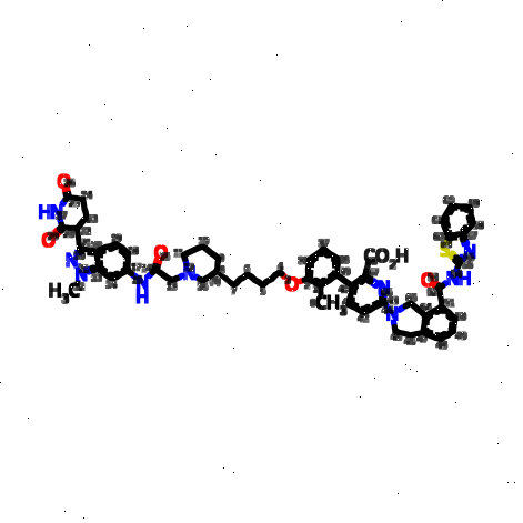 Cc1c(OCCCC[C@@H]2CCCN(CC(=O)Nc3ccc4c(C5CCC(=O)NC5=O)nn(C)c4c3)C2)cccc1-c1ccc(N2CCc3cccc(C(=O)Nc4nc5ccccc5s4)c3C2)nc1C(=O)O